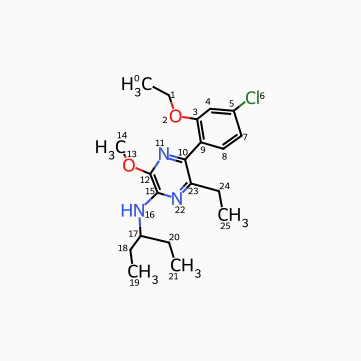 CCOc1cc(Cl)ccc1-c1nc(OC)c(NC(CC)CC)nc1CC